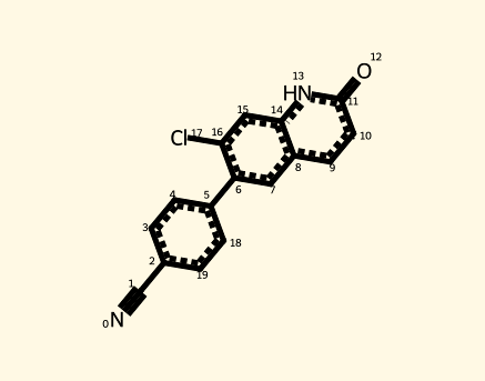 N#Cc1ccc(-c2cc3c[c]c(=O)[nH]c3cc2Cl)cc1